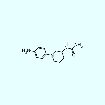 NC(=O)NC1CCCN(c2ccc(N)cc2)C1